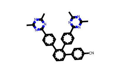 Cc1nc(C)nc(-c2ccc(-c3cccc(-c4ccc(C#N)cc4)c3-c3ccc(-c4nc(C)nc(C)n4)cc3)cc2)n1